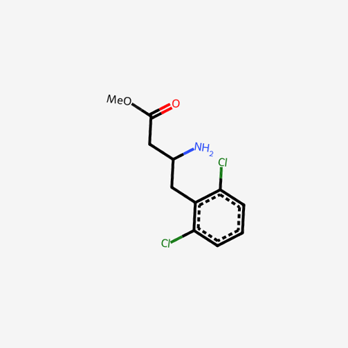 COC(=O)CC(N)Cc1c(Cl)cccc1Cl